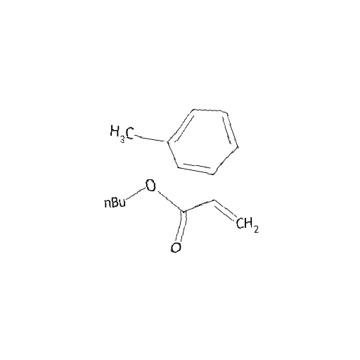 C=CC(=O)OCCCC.Cc1ccccc1